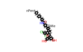 CCCCC[C@H]1CC[C@H](c2ccc(-c3ccc(C(=O)Nc4ccc(-c5cc6c(cc5OC)C(C)(C)c5c7c(c8c(Cl)cc(Cl)cc8c5-6)OC(c5ccc(O)cc5)(c5ccc(O)cc5)C=C7)cc4)cc3)cc2)CC1